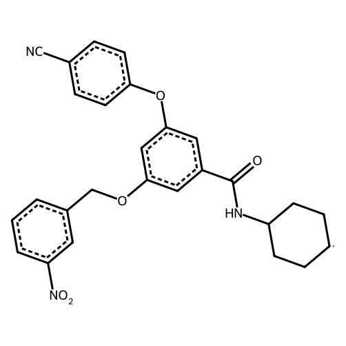 N#Cc1ccc(Oc2cc(OCc3cccc([N+](=O)[O-])c3)cc(C(=O)NC3CC[CH]CC3)c2)cc1